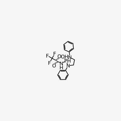 O=S(=O)(N[PH]1(O)N(c2ccccc2)CCN1c1ccccc1)C(F)(F)F